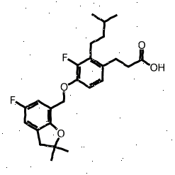 CC(C)CCc1c(CCC(=O)O)ccc(OCc2cc(F)cc3c2OC(C)(C)C3)c1F